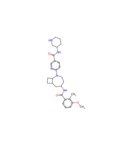 COc1cccc(C(=O)NC2CCN(c3ccc(C(=O)NC4CCCNC4)cn3)C3CCC3C2)c1C